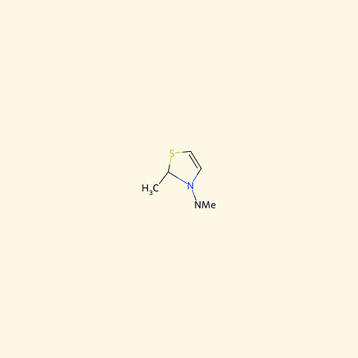 CNN1C=CSC1C